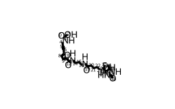 O=C(O)NCC#Cc1ccc(C(=O)NCCCNC(=O)CCCC[C@@H]2SC[C@@H]3NC(=O)N[C@@H]32)o1